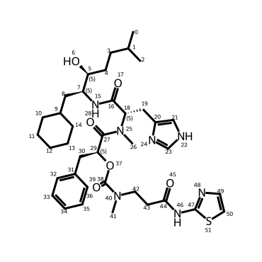 CC(C)CC[C@H](O)[C@H](CC1CCCCC1)NC(=O)[C@H](Cc1c[nH]cn1)N(C)C(=O)[C@H](Cc1ccccc1)OC(=O)N(C)CCC(=O)Nc1nccs1